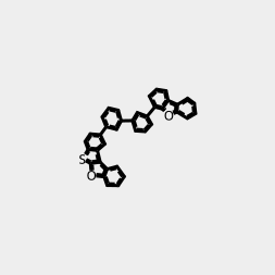 c1cc(-c2cccc(-c3cccc4c3oc3ccccc34)c2)cc(-c2ccc3sc4oc5ccccc5c4c3c2)c1